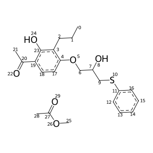 CCCc1c(OCC(O)CSc2ccccc2)ccc(C(C)=O)c1O.COC(C)=O